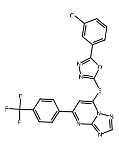 FC(F)(F)c1ccc(-c2cc(Sc3nnc(-c4cccc(Cl)c4)o3)n3ncnc3n2)cc1